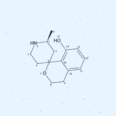 C[C@H]1CC2(CCN1)OCCc1cccc(O)c12